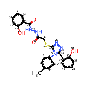 Cc1ccc(-n2c(SCC(=O)NNC(=O)c3ccccc3O)nnc2-c2ccccc2O)cc1